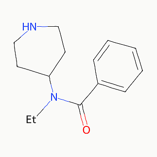 CCN(C(=O)c1ccccc1)C1CCNCC1